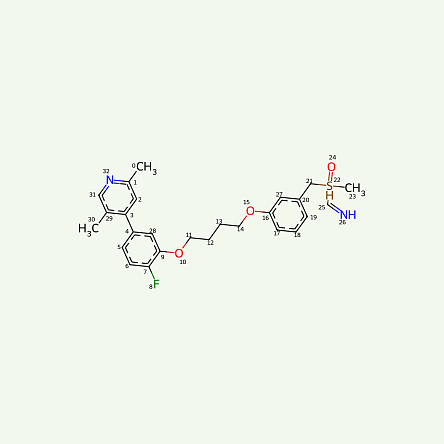 Cc1cc(-c2ccc(F)c(OCCCCOc3cccc(C[SH](C)(=O)C=N)c3)c2)c(C)cn1